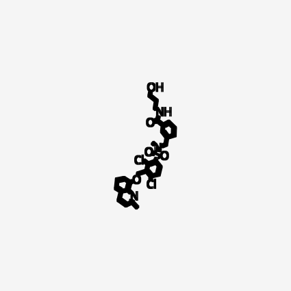 Cc1ccc2cccc(OCc3c(Cl)ccc(S(=O)(=O)N(C)Cc4cccc(C(=O)NCCCO)c4)c3Cl)c2n1